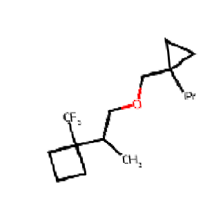 CC(C)C1(COCC(C)C2(C(F)(F)F)CCC2)CC1